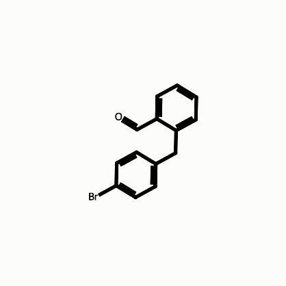 O=Cc1ccccc1Cc1ccc(Br)cc1